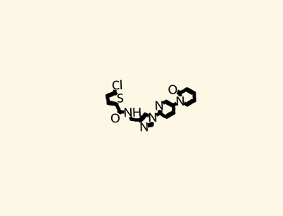 O=C(NCc1cn(-c2ccc(-n3ccccc3=O)cn2)cn1)c1ccc(Cl)s1